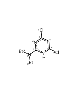 CCN(CC)c1nc(Cl)cc(Cl)n1